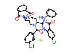 C#CCC(c1nc2cc(Cl)ccc2c(=O)n1Nc1ccccc1)N(CCCN1C(=O)c2ccccc2C1=O)C(=O)c1cccc(Cl)c1F